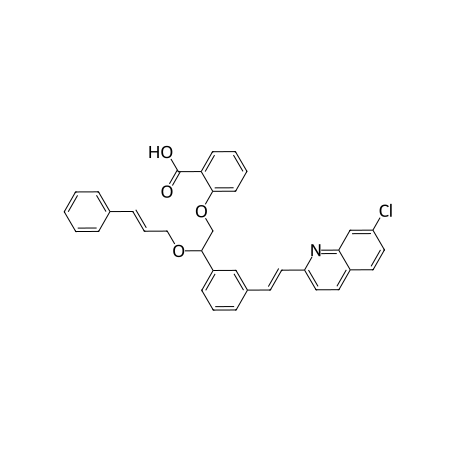 O=C(O)c1ccccc1OCC(OCC=Cc1ccccc1)c1cccc(/C=C/c2ccc3ccc(Cl)cc3n2)c1